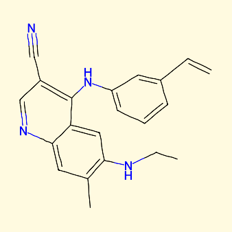 C=Cc1cccc(Nc2c(C#N)cnc3cc(C)c(NCC)cc23)c1